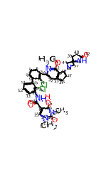 COc1nc(-c2cccc(-c3cccc(NC(=O)C4=CN(C)C(=O)N(C)C4O)c3Cl)c2Cl)cc2c1[C@H](N1CC3(CCC(=O)N3)C1)CC2